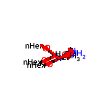 CCCCCC/C=C/COC(=O)CCCCCCCCN(CCCCCCCCC(=O)OC/C=C/CCCCCC)CCCN(CCCCCCCCC(=O)OC/C=C/CCCCCC)CCCCCC(=O)OC(C)(C)Cn1c(COCC)nc2c(N)nc3ccccc3c21